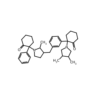 CC1CN(C2(c3cccc(CC4CCN(C5(c6ccccc6)CCCCC5=O)C4C)c3)CCCCC2=O)CC1C